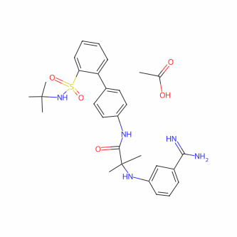 CC(=O)O.CC(C)(C)NS(=O)(=O)c1ccccc1-c1ccc(NC(=O)C(C)(C)Nc2cccc(C(=N)N)c2)cc1